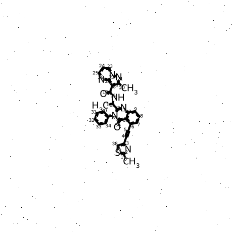 Cc1nc(C#Cc2cccc3nc(C(C)NC(=O)c4c(C)nn5cccnc45)n(-c4ccccc4)c(=O)c23)cs1